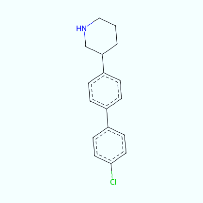 Clc1ccc(-c2ccc(C3CCCNC3)cc2)cc1